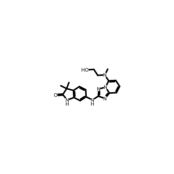 CN(CCO)c1cccc2nc(Nc3ccc4c(c3)NC(=O)C4(C)C)nn12